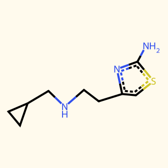 Nc1nc(CCNCC2CC2)cs1